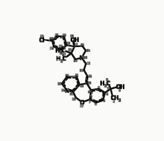 CC(C)(O)c1ccc2c(c1)/C(=C/CCN1CC[C@@](O)(c3ccc(Cl)cc3)C(C)(C)C1)c1cccnc1CO2